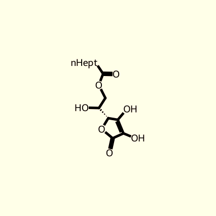 CCCCCCCC(=O)OCC(O)[C@H]1OC(=O)C(O)=C1O